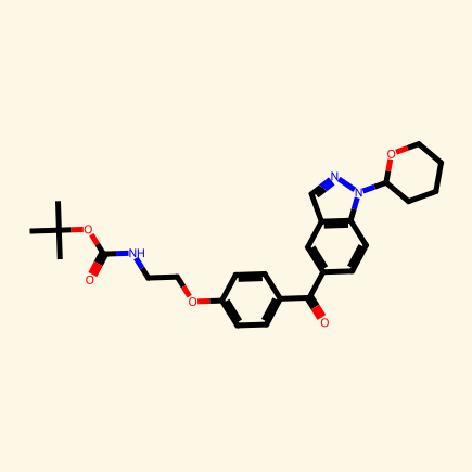 CC(C)(C)OC(=O)NCCOc1ccc(C(=O)c2ccc3c(cnn3C3CCCCO3)c2)cc1